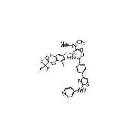 CN(C#N)C(=O)[C@H](Cc1cc(I)c(OC(=O)C(F)(F)F)c(I)c1)NC(=O)c1ccc(-c2csc(Nc3ccncc3)n2)cc1